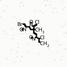 C=CC(Cl)C(C=CC(C)(CCC(=CBr)N=O)C(=CCl)N=O)N=O